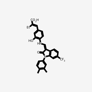 CC/C(=C\c1ccc(N/C=C2\C(=O)N(c3ccc(C)c(C)c3)c3cc(C(F)(F)F)ccc32)c(O)c1)C(=O)O